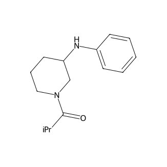 CC(C)C(=O)N1CCCC(Nc2ccccc2)C1